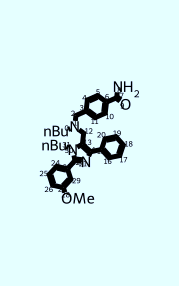 CCCCN(Cc1ccc(C(N)=O)cc1)Cc1c(-c2ccccc2)nc(-c2cccc(OC)c2)n1CCCC